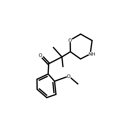 COc1ccccc1C(=O)C(C)(C)C1CNCCO1